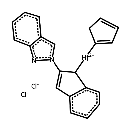 C1=CC[C]([Hf+2][CH]2C(n3cc4ccccc4n3)=Cc3ccccc32)=C1.[Cl-].[Cl-]